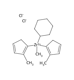 CC1=[C]([Zr+2]([CH3])([C]2=C(C)C=CC2)[CH]2CCCCC2)CC=C1.[Cl-].[Cl-]